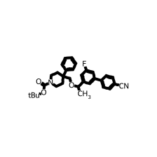 CC(OCC1(c2ccccc2)CCN(C(=O)OC(C)(C)C)CC1)c1cc(F)cc(-c2ccc(C#N)cc2)c1